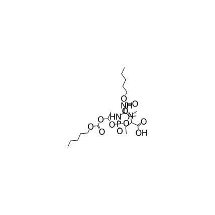 CCCCCOC(=O)OC(C)OP(=O)(NC(=N)N(C)C(CC)C(=O)O)OC(C)OC(=O)OCCCCC